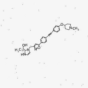 C[C@H](O)C1NC=CN1Cc1cc(-c2ccc(C#Cc3ccc(OC4CCN(C)CC4)cc3)cc2)on1